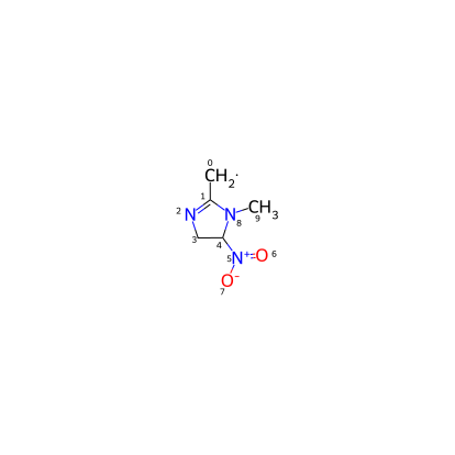 [CH2]C1=NCC([N+](=O)[O-])N1C